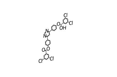 O=C(Oc1ccc(-c2cc(-c3ccc(OC(O)c4cc(Cl)cc(Cl)c4)cc3)ncn2)cc1)c1cc(Cl)cc(Cl)c1